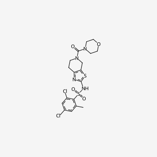 Cc1cc(Cl)cc(Cl)c1S(=O)(=O)Nc1nc2c(s1)CN(C(=O)N1CCOCC1)CC2